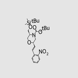 CC(C)(C)OC(=O)N1C[C@@H](/C=C/c2ccccc2[N+](=O)[O-])OC[C@H]1CO[Si](C)(C)C(C)(C)C